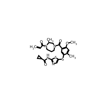 C=CC(=O)N1CCCN(C(=O)c2cc(Sc3cnc(NC(=O)C4CC4)s3)c(C)cc2OC)C[C@@H]1C